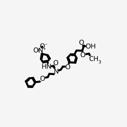 CCOC(Cc1ccc(OCCN(CCCOCc2ccccc2)C(=O)Nc2ccc([N+](=O)[O-])cc2)cc1)C(=O)O